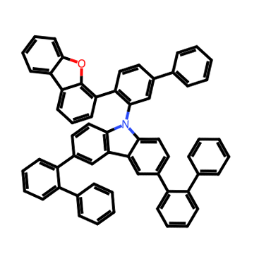 c1ccc(-c2ccc(-c3cccc4c3oc3ccccc34)c(-n3c4ccc(-c5ccccc5-c5ccccc5)cc4c4cc(-c5ccccc5-c5ccccc5)ccc43)c2)cc1